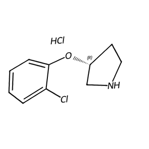 Cl.Clc1ccccc1O[C@@H]1CCNC1